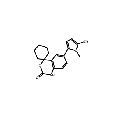 Cn1c(C#N)ccc1-c1ccc2c(c1)C1(CCCCC1)OC(=O)N2